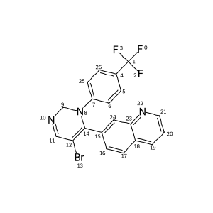 FC(F)(F)c1ccc(N2CN=CC(Br)=C2c2ccc3cccnc3c2)cc1